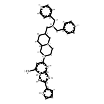 Nc1cc(N2CCN3CC(CN(Cc4ccncc4)Cc4ccncc4)CCC3C2)nc2nc(-c3ccco3)nn12